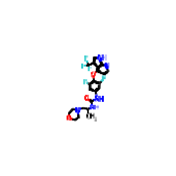 CC(CN1CCOCC1)NC(=O)Nc1cc(F)c(Oc2ccnc3[nH]cc(C(F)(F)F)c23)c(F)c1